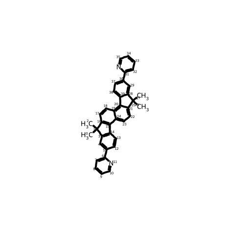 CC1(C)c2cc(-c3ccccn3)ccc2-c2c1ccc1c3c(ccc21)C(C)(C)c1cc(-c2ccccn2)ccc1-3